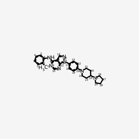 Cc1ccccc1Nc1ncnc2c1cnn2-c1ccc(N2CCC(N3CCCC3)CC2)cc1